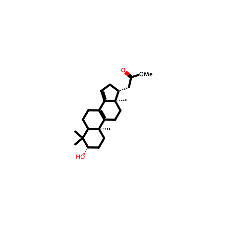 COC(=O)C[C@H]1CC=C2C3=C(CC[C@@]21C)[C@@]1(C)CC[C@H](O)C(C)(C)C1CC3